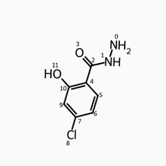 NNC(=O)c1ccc(Cl)cc1O